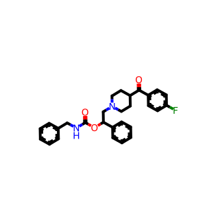 O=C(NCc1ccccc1)OC(CN1CCC(C(=O)c2ccc(F)cc2)CC1)c1ccccc1